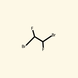 FC(Br)C(F)Br